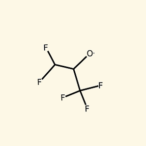 [O]C(C(F)F)C(F)(F)F